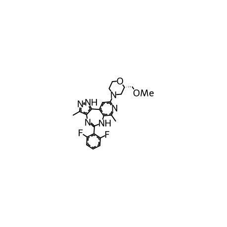 COC[C@@H]1CN(c2cc3c(c(C)n2)NC(c2c(F)cccc2F)=Nc2c(C)n[nH]c2-3)CCO1